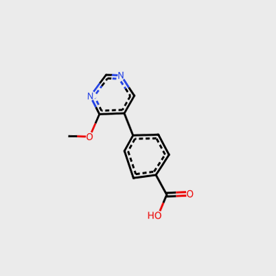 COc1ncncc1-c1ccc(C(=O)O)cc1